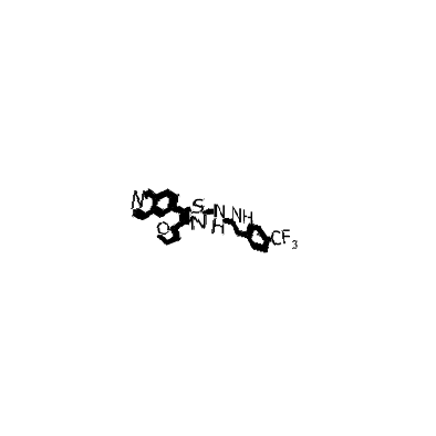 NC(CNc1nc(C2CCCO2)c(-c2ccc3cnccc3c2)s1)Cc1ccc(C(F)(F)F)cc1